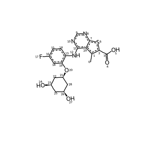 Cc1c(C(=O)O)sc2ncnc(Nc3ccc(F)cc3O[C@@H]3C[C@H](O)C[C@H](O)C3)c12